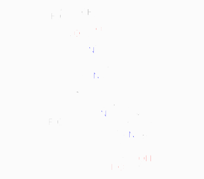 O=C(OC(C(F)(F)F)C(F)(F)F)N1CCN(Cc2ccc(C(F)(F)F)cc2N2CCC3(CCCN3CC(O)O)CC2)CC1